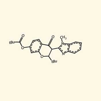 Cn1c(C2C(=O)c3ccc(OC(=O)C(C)(C)C)cc3OC2C(C)(C)C)nc2ccccc21